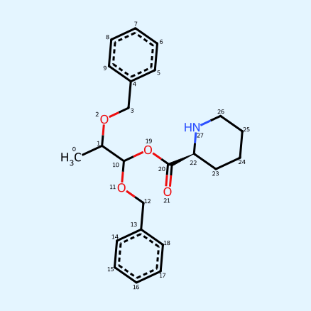 CC(OCc1ccccc1)C(OCc1ccccc1)OC(=O)[C@@H]1CCCCN1